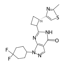 Cc1nc([C@H]2CCC2c2nc3c(cnn3C3CCC(F)(F)CC3)c(=O)[nH]2)cs1